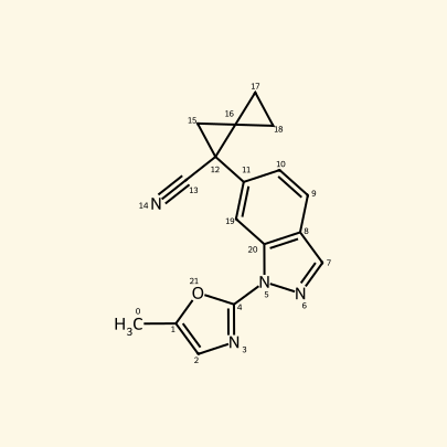 Cc1cnc(-n2ncc3ccc(C4(C#N)CC45CC5)cc32)o1